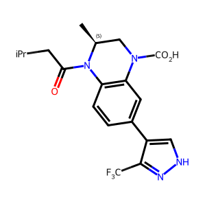 CC(C)CC(=O)N1c2ccc(-c3c[nH]nc3C(F)(F)F)cc2N(C(=O)O)C[C@@H]1C